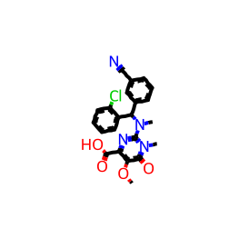 COc1c(C(=O)O)nc(N(C)C(c2cccc(C#N)c2)c2ccccc2Cl)n(C)c1=O